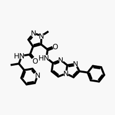 CC(NC(=O)c1cnn(C)c1C(=O)Nc1ccn2cc(-c3ccccc3)nc2n1)c1cccnc1